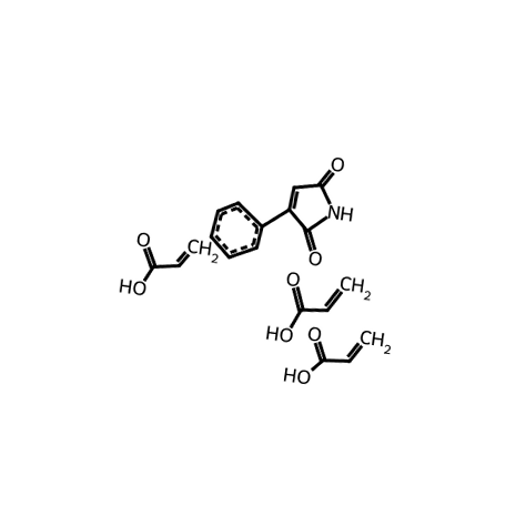 C=CC(=O)O.C=CC(=O)O.C=CC(=O)O.O=C1C=C(c2ccccc2)C(=O)N1